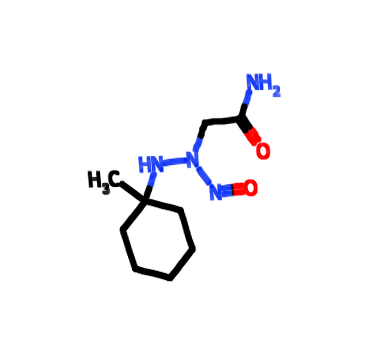 CC1(NN(CC(N)=O)N=O)CCCCC1